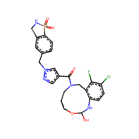 O=C(c1cnn(Cc2ccc3c(c2)CNS3(=O)=O)c1)N1CCCOC(O)Nc2ccc(Cl)c(F)c2C1